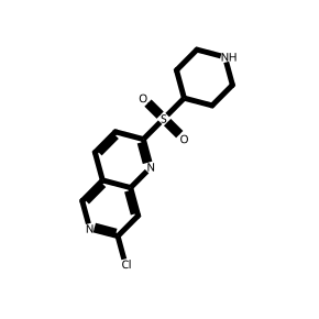 O=S(=O)(c1ccc2cnc(Cl)cc2n1)C1CCNCC1